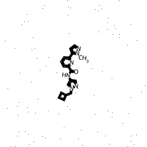 Cn1nccc1-c1cccc(C(=O)Nc2cnn(CC3CCC3)c2)n1